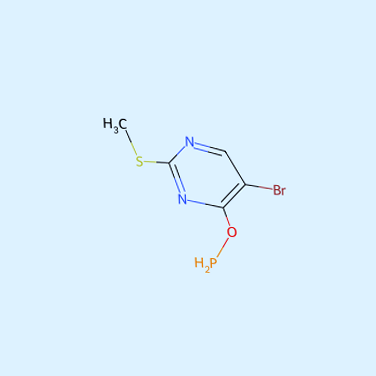 CSc1ncc(Br)c(OP)n1